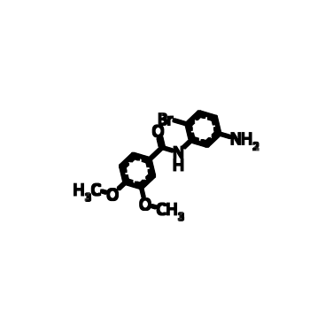 COc1ccc(C(=O)Nc2cc(N)ccc2Br)cc1OC